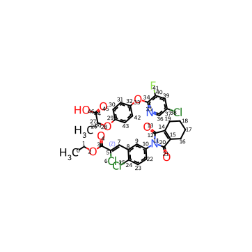 CCOC(=O)/C(Cl)=C/c1cc(N2C(=O)C3=C(CCCC3)C2=O)ccc1Cl.C[C@@H](Oc1ccc(Oc2ncc(Cl)cc2F)cc1)C(=O)O